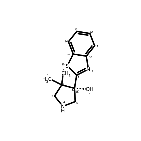 CC1(C)CNC[C@]1(O)c1nc2ccccc2s1